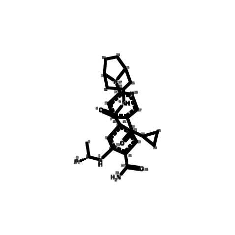 CC(C)[C@H](C)Nc1cc(C(=O)NC2CC3CCC(C2)N3c2ccc(C(=O)C3CC3)cn2)ccc1C(N)=O